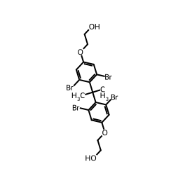 CC(C)(c1c(Br)cc(OCCO)cc1Br)c1c(Br)cc(OCCO)cc1Br